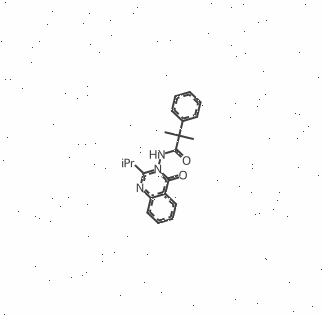 CC(C)c1nc2ccccc2c(=O)n1NC(=O)C(C)(C)c1ccccc1